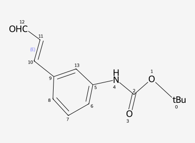 CC(C)(C)OC(=O)Nc1cccc(/C=C/C=O)c1